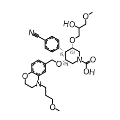 COCCCN1CCOc2ccc(CO[C@H]3CN(C(=O)O)C[C@@H](OCC(O)COC)[C@H]3c3ccc(C#N)cc3)cc21